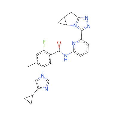 Cc1cc(F)c(C(=O)Nc2cccc(-c3nnc4n3C3CC3C4)n2)cc1-n1cnc(C2CC2)c1